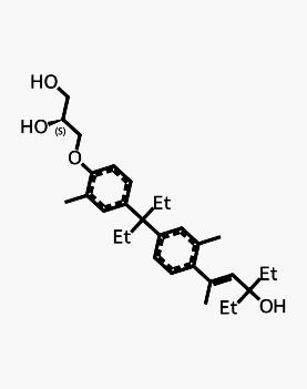 CCC(O)(C=C(C)c1ccc(C(CC)(CC)c2ccc(OC[C@@H](O)CO)c(C)c2)cc1C)CC